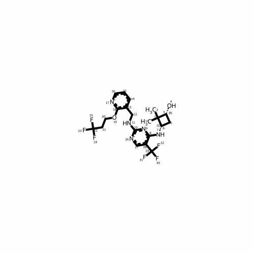 CC1(C)[C@H](O)C[C@@H]1Nc1nc(NCc2cccnc2OCCC(F)(F)F)ncc1C(F)(F)F